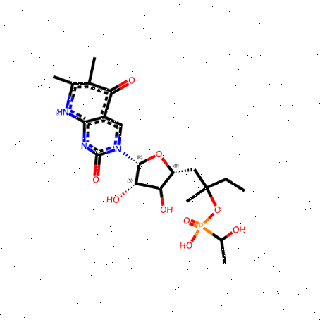 CCC(C)(C[C@H]1O[C@@H](n2cc3c(=O)c(C)c(C)[nH]c3nc2=O)[C@@H](O)C1O)OP(=O)(O)C(C)O